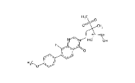 COc1ccc(-c2ccc3c(=O)n(CCC(C)([C@@H](O)NO)S(C)(=O)=O)cnc3c2F)cc1